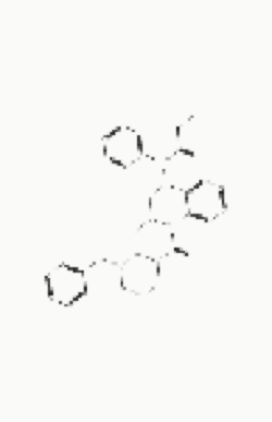 CCC(=O)N(c1ccccc1)C1CC(C)N(C(=O)C2CN(Cc3ccccc3)CCO2)c2ccccc21